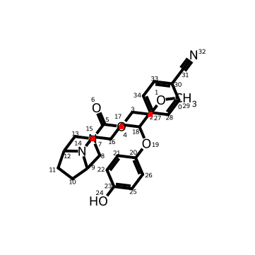 COCCOC(=O)N1CC2CCC(C1)N2CCCC(Oc1ccc(O)cc1)c1ccc(C#N)cc1